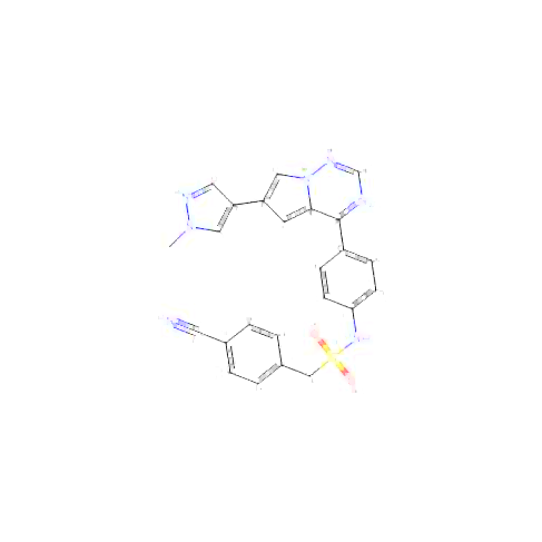 Cn1cc(-c2cc3c(-c4ccc(NS(=O)(=O)Cc5ccc(C#N)cc5)cc4)ncnn3c2)cn1